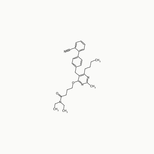 CCCCc1nc(C)nc(OCCCC(=O)N(CC)CC)c1Cc1ccc(-c2ccccc2C#N)cc1